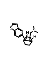 CN(C)C[C@@H]1C2CCC(CC2)[C@@H]1c1ccc2sccc2c1